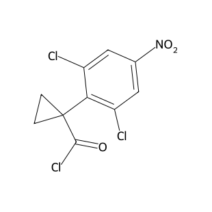 O=C(Cl)C1(c2c(Cl)cc([N+](=O)[O-])cc2Cl)CC1